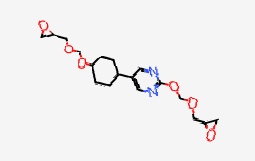 c1nc(OCOCC2CO2)ncc1C1CCC(OCOCC2CO2)CC1